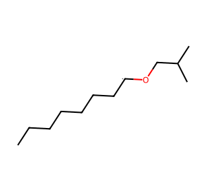 CCCCCCC[CH]OCC(C)C